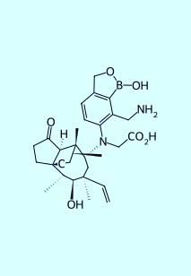 C=C[C@]1(C)C[C@@H](N(CC(=O)O)c2ccc3c(c2CN)B(O)OC3)[C@]2(C)[C@H](C)CC[C@]3(CCC(=O)[C@H]32)[C@@H](C)[C@@H]1O